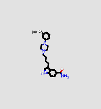 COc1cccc(N2CCN(CCCCc3c[nH]c4ccc(C(N)=O)cc34)CC2)c1